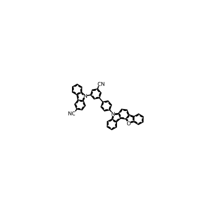 N#Cc1cc(-c2ccc(-n3c4ccccc4c4c5oc6ccccc6c5ccc43)cc2)cc(-n2c3ccccc3c3cc(C#N)ccc32)c1